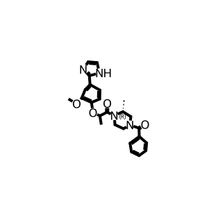 COc1cc(-c2ncc[nH]2)ccc1OC(C)C(=O)N1CCN(C(=O)c2ccccc2)C[C@H]1C